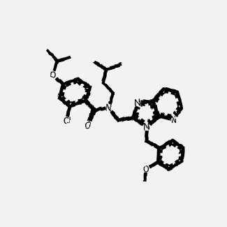 COc1ccccc1Cn1c(CN(CCC(C)C)C(=O)c2ccc(OC(C)C)cc2Cl)nc2cccnc21